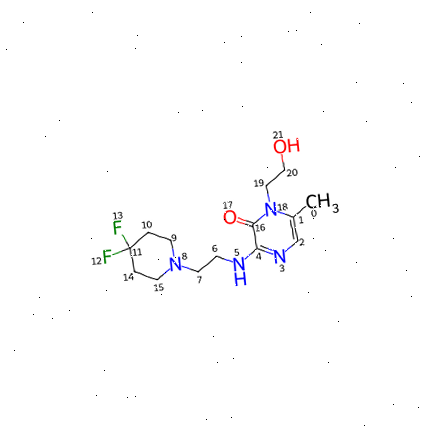 Cc1cnc(NCCN2CCC(F)(F)CC2)c(=O)n1CCO